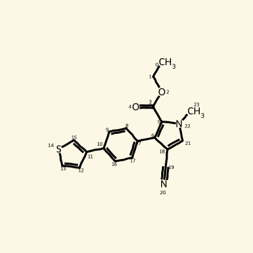 CCOC(=O)c1c(-c2ccc(-c3ccsc3)cc2)c(C#N)cn1C